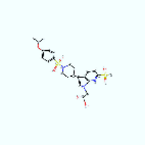 CC(C)Oc1ccc(S(=O)(=O)N2CCC(c3cn(CC(=O)O)c4nc(S(C)(=O)=O)ccc34)CC2)cc1